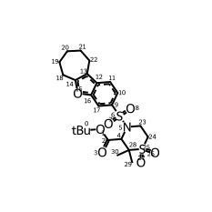 CC(C)(C)OC(=O)C1N(S(=O)(=O)c2ccc3c4c(oc3c2)CCCCC4)CCS(=O)(=O)C1(C)C